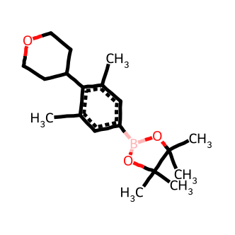 Cc1cc(B2OC(C)(C)C(C)(C)O2)cc(C)c1C1CCOCC1